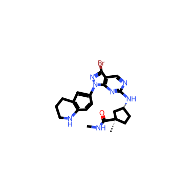 CNC(=O)[C@]1(C)CC[C@@H](Nc2ncc3c(Br)nn(-c4ccc5c(c4)CCCN5)c3n2)C1